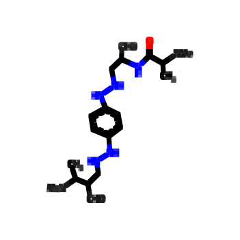 CNC(C)C(=O)NC(C=O)CNNc1ccc(NNCC(C=O)C(C)NC)cc1